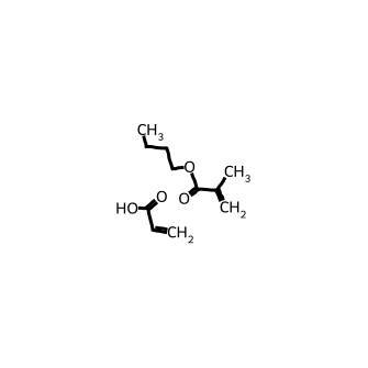 C=C(C)C(=O)OCCCC.C=CC(=O)O